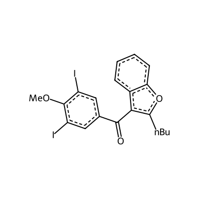 CCCCc1oc2ccccc2c1C(=O)c1cc(I)c(OC)c(I)c1